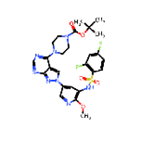 COc1ncc(-n2cc3c(N4CCN(C(=O)OC(C)(C)C)CC4)ncnc3n2)cc1NS(=O)(=O)c1ccc(F)cc1F